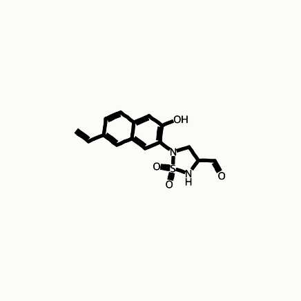 C=Cc1ccc2cc(O)c(N3CC(C=O)NS3(=O)=O)cc2c1